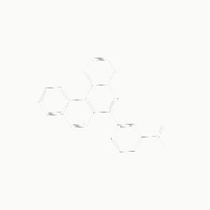 O=[N+]([O-])c1cccc(-c2nc3ccccc3c3c2ccc2ccccc23)c1